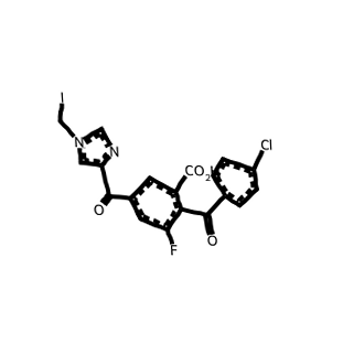 O=C(c1cc(F)c(C(=O)c2ccc(Cl)cc2)c(C(=O)O)c1)c1cn(CI)cn1